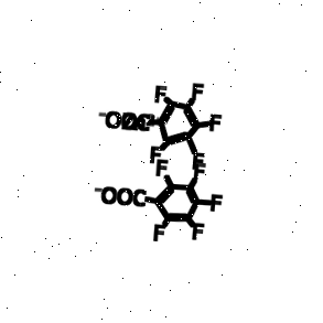 O=C([O-])c1c(F)c(F)c(F)c(F)c1F.O=C([O-])c1c(F)c(F)c(F)c(F)c1F.[Zn+2]